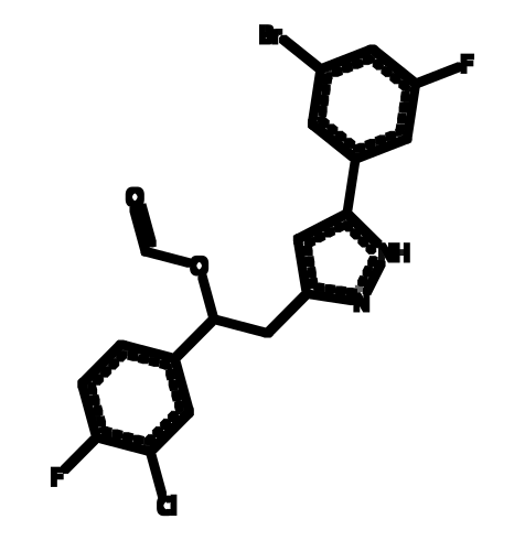 O=COC(Cc1cc(-c2cc(F)cc(Br)c2)[nH]n1)c1ccc(F)c(Cl)c1